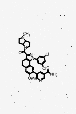 COc1cc2c(cc1-c1cncc(C(N)=O)c1)-c1c(c(C(=O)N3CCC4C3CCN4C)nn1-c1cc(Cl)cc(Cl)c1)CC2